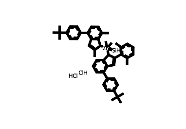 CC1=Cc2c(-c3ccc(C(C)(C)C)cc3)ccc(C)c2[CH]1[Zr]([CH3])([CH3])(=[SiH2])[CH]1C(c2c(C)cccc2C)=Cc2c(-c3ccc(C(C)(C)C)cc3)cccc21.Cl.Cl